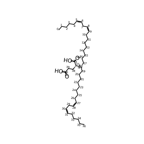 CCCCC/C=C\C/C=C\CCCCCCCCN(CCCCCCCC/C=C\C/C=C\CCCCC)[C@@H](CCC(=O)O)C(=O)O